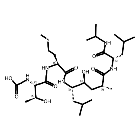 CSCC[C@H](NC(=O)[C@@H](NC(=O)O)[C@H](C)O)C(=O)N[C@@H](CC(C)C)[C@@H](O)C[C@@H](C)C(=O)N[C@@H](CC(C)C)C(=O)NC(C)C